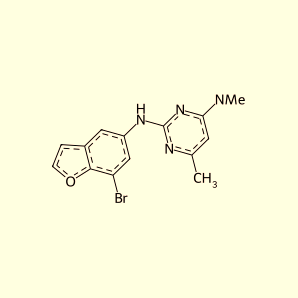 CNc1cc(C)nc(Nc2cc(Br)c3occc3c2)n1